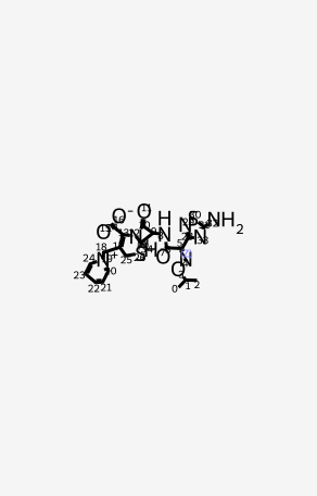 CC(C)O/N=C(\C(=O)NC1C(=O)N2C(C(=O)[O-])=C(C[n+]3ccccc3)CS[C@H]12)c1nsc(N)n1